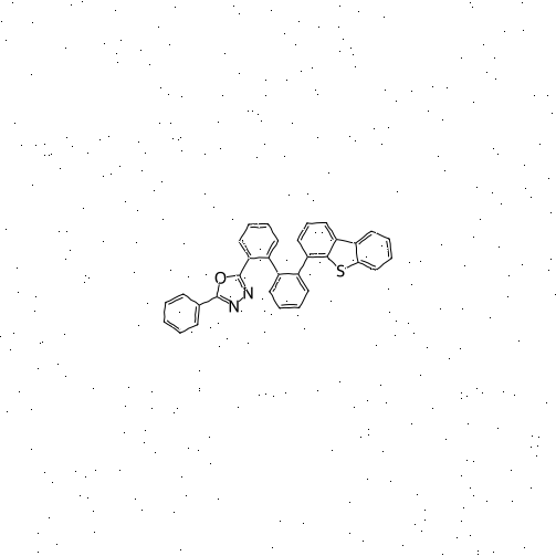 c1ccc(-c2nnc(-c3ccccc3-c3ccccc3-c3cccc4c3sc3ccccc34)o2)cc1